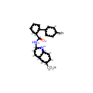 CC(C)c1ccc(-c2ccccc2C(=O)Nc2ccc3cc(C(=O)O)ccc3n2)cc1